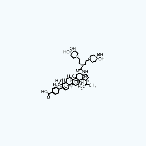 C=C(C)[C@@H]1CC[C@]2(NC(=O)N(CCN3CCS(O)(O)CC3)CCN3CCS(O)(O)CC3)CC[C@]3(C)[C@H](CC[C@@H]4[C@@]5(C)CC=C(c6ccc(C(=O)O)cc6)C(C)(C)[C@@H]5CC[C@]43C)[C@@H]12